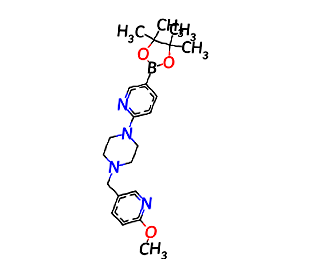 COc1ccc(CN2CCN(c3ccc(B4OC(C)(C)C(C)(C)O4)cn3)CC2)cn1